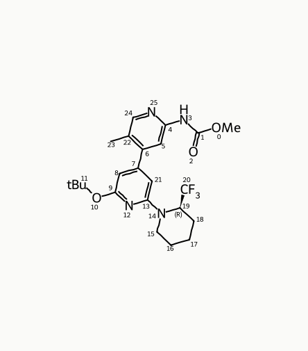 COC(=O)Nc1cc(-c2cc(OC(C)(C)C)nc(N3CCCC[C@@H]3C(F)(F)F)c2)c(C)cn1